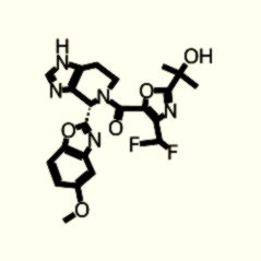 COc1ccc2oc([C@@H]3c4nc[nH]c4CCN3C(=O)c3oc(C(C)(C)O)nc3C(F)F)nc2c1